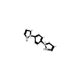 C1=CNN(c2ccc(N3CC=CN3)cc2)C1